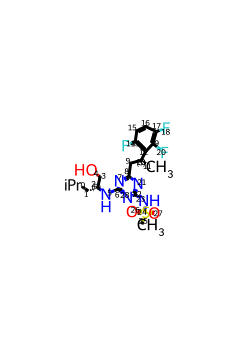 CC(C)C[C@H](CO)Nc1nc(C[C@H](C)c2c(F)ccc(F)c2F)nc(NS(C)(=O)=O)n1